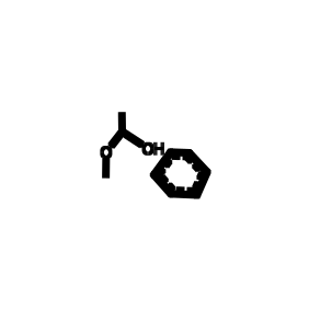 COC(C)O.c1ccccc1